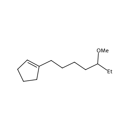 CCC(CCCCC1=CCCC1)OC